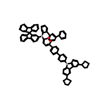 c1ccc(-c2cccc(-c3ccccc3N(c3ccc(-c4ccc(-c5ccc(-n6c7ccc(C8CCCC8)cc7c7cc(C8CCCC8)ccc76)cc5)cc4)cc3)c3ccc4c(c3)C3(c5ccccc5-c5ccccc53)c3ccccc3-4)c2)cc1